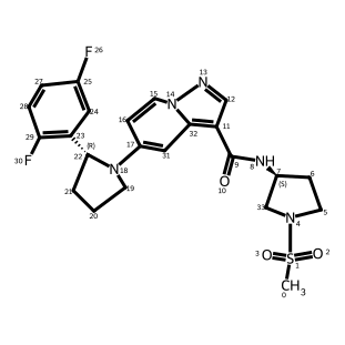 CS(=O)(=O)N1CC[C@H](NC(=O)c2cnn3ccc(N4CCC[C@@H]4c4cc(F)ccc4F)cc23)C1